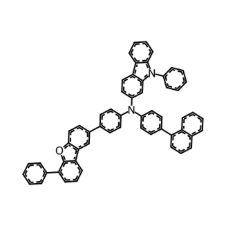 c1ccc(-c2cccc3c2oc2ccc(-c4ccc(N(c5ccc(-c6cccc7ccccc67)cc5)c5ccc6c7ccccc7n(-c7ccccc7)c6c5)cc4)cc23)cc1